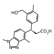 Cc1ccc([C@@H](CC(=O)O)c2ccc3c(nnn3C)c2C)cc1CO